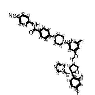 Cc1cc(OC[C@@H]2CO[C@@](Cn3cncn3)(c3ccc(F)cc3F)C2)cc(N2CCN(c3ccc(C(=O)Nc4ccc(C#N)cn4)cc3)CC2)n1